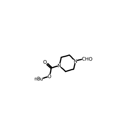 CCCCOC(=O)N1CCN(C=O)CC1